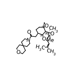 CO[C@@H]1C(CC(=O)N2CCC3(CCOCC3)CC2)CC[C@]2(CO2)C1[C@@]1(C)O[C@@H]1CC=C(C)C